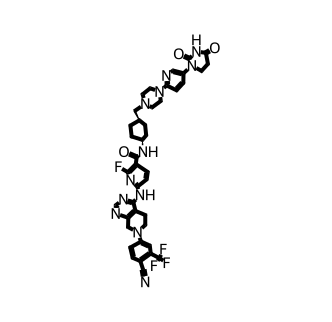 N#Cc1ccc(N2CCc3c(ncnc3Nc3ccc(C(=O)N[C@H]4CC[C@H](CN5CCN(c6ccc(N7CCC(=O)NC7=O)cn6)CC5)CC4)c(F)n3)C2)cc1C(F)(F)F